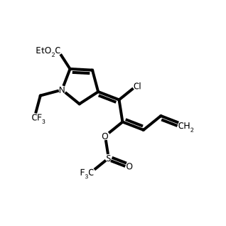 C=C/C=C(OS(=O)C(F)(F)F)\C(Cl)=C1\C=C(C(=O)OCC)N(CC(F)(F)F)C1